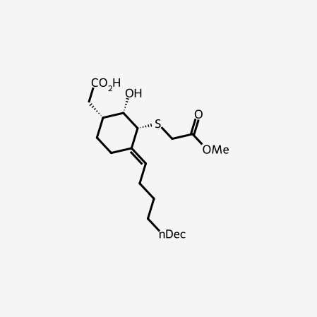 CCCCCCCCCCCCC/C=C1\CC[C@H](CC(=O)O)[C@H](O)[C@@H]1SCC(=O)OC